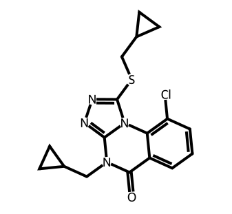 O=c1c2cccc(Cl)c2n2c(SCC3CC3)nnc2n1CC1CC1